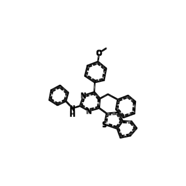 COc1ccc(-c2nc(Nc3ccccc3)nc(-c3cc4ccccc4s3)c2Cc2ccccc2)cc1